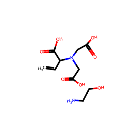 C=CC(C(=O)O)N(CC(=O)O)CC(=O)O.NCCO